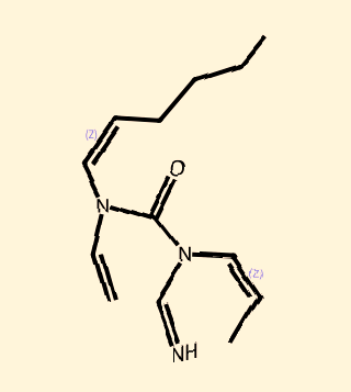 C=CN(/C=C\CCCC)C(=O)N(C=N)/C=C\C